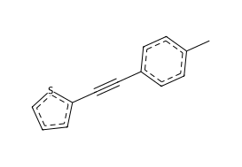 Cc1ccc(C#Cc2cccs2)cc1